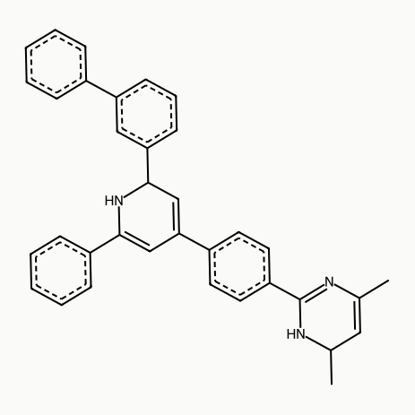 CC1=CC(C)NC(c2ccc(C3=CC(c4cccc(-c5ccccc5)c4)NC(c4ccccc4)=C3)cc2)=N1